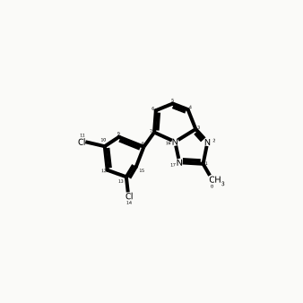 Cc1nc2cccc(-c3cc(Cl)cc(Cl)c3)n2n1